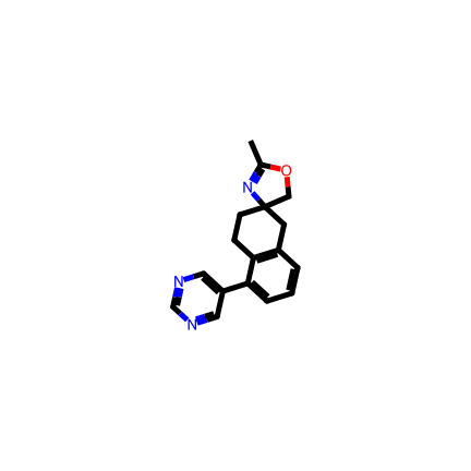 CC1=NC2(CCc3c(cccc3-c3cncnc3)C2)CO1